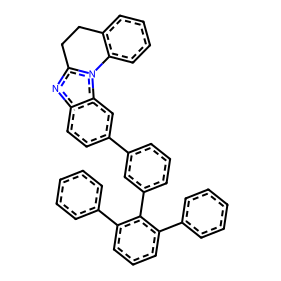 c1ccc(-c2cccc(-c3ccccc3)c2-c2cccc(-c3ccc4nc5n(c4c3)-c3ccccc3CC5)c2)cc1